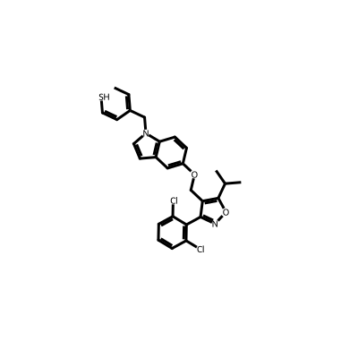 C/C=C(\C=C/S)Cn1ccc2cc(OCc3c(-c4c(Cl)cccc4Cl)noc3C(C)C)ccc21